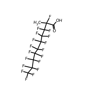 CC(F)(C(=O)O)C(F)(F)C(F)(F)C(F)(F)C(F)(F)C(F)(F)C(F)(F)C(F)(F)C(F)(F)F